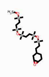 C[Si](C)(CC[Si](C)(C)O[Si](C)(C)CC[Si](C)(C)O[Si](C)(C)CCC1CCC2OC2C1)O[SiH3]